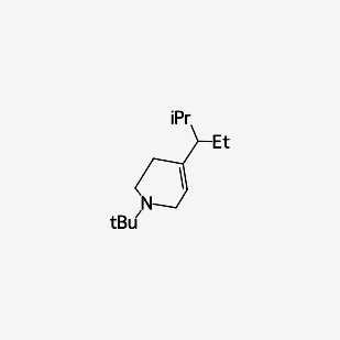 CCC(C1=CCN(C(C)(C)C)CC1)C(C)C